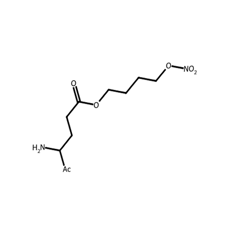 CC(=O)C(N)CCC(=O)OCCCCO[N+](=O)[O-]